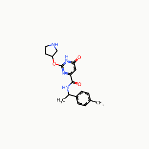 CC(NC(=O)c1cc(=O)[nH]c(OC2CCNC2)n1)c1ccc(C(F)(F)F)cc1